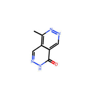 Cc1nncc2c(=O)[nH]ncc12